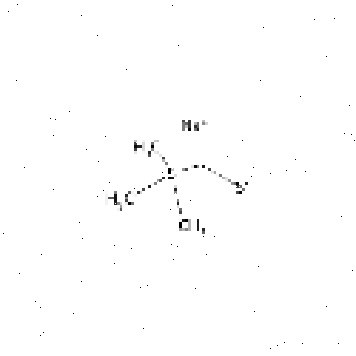 C[Si](C)(C)C[S-].[Na+]